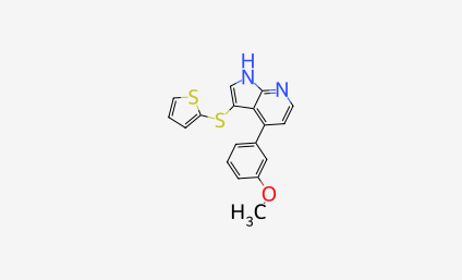 COc1cccc(-c2ccnc3[nH]cc(Sc4cccs4)c23)c1